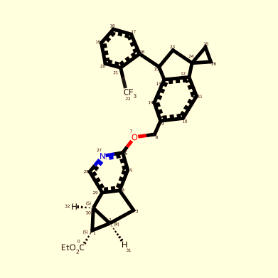 CCOC(=O)[C@H]1[C@@H]2Cc3cc(OCc4ccc5c(c4)C(c4ccccc4C(F)(F)F)CC54CC4)ncc3[C@@H]21